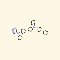 c1ccc(-c2ccc(-n3c4ccccc4c4cc(-c5ccc6c(c5)c5ccccc5n6-c5cncnc5)ccc43)cc2)cc1